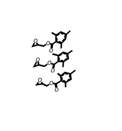 Cc1cc(C)c(C(=O)OCC2CO2)c(C)c1.Cc1cc(C)c(C(=O)OCC2CO2)c(C)c1.Cc1cc(C)c(C(=O)OCC2CO2)c(C)c1